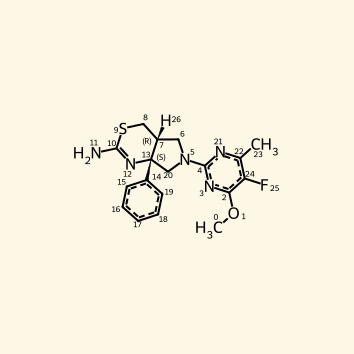 COc1nc(N2C[C@H]3CSC(N)=N[C@@]3(c3ccccc3)C2)nc(C)c1F